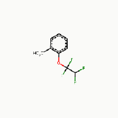 O=C(O)c1ccccc1OC(F)(F)C(F)F